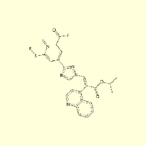 C=N/C(=C\C(=C/CC(=O)F)c1ncn(/C=C(/C(=O)OC(C)C)c2ccnc3ccccc23)n1)SF